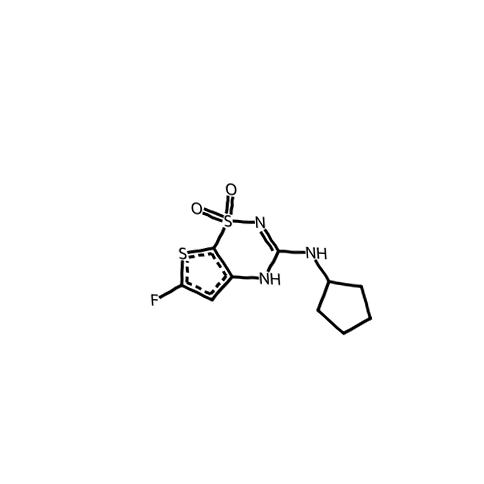 O=S1(=O)N=C(NC2CCCC2)Nc2cc(F)sc21